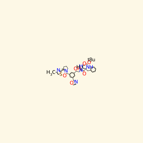 Cc1csc([C@H]2CCCN2C(=O)c2cc(-c3ncco3)cc(C(O)CNC(=O)C(C)(Cc3ccccc3)NC(=O)OC(C)(C)C)c2)n1